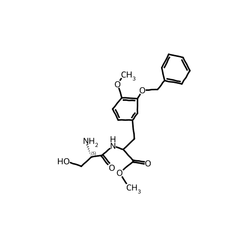 COC(=O)C(Cc1ccc(OC)c(OCc2ccccc2)c1)NC(=O)[C@@H](N)CO